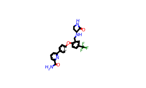 NC(=O)c1cccc(-c2ccc(Oc3ccc(C(F)(F)F)cc3CN[C@H]3CCNC3=O)cc2)n1